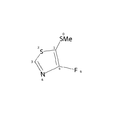 CSc1scnc1F